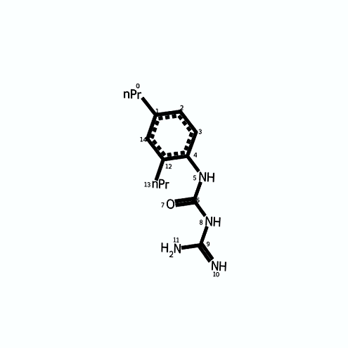 CCCc1ccc(NC(=O)NC(=N)N)c(CCC)c1